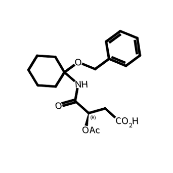 CC(=O)O[C@H](CC(=O)O)C(=O)NC1(OCc2ccccc2)CCCCC1